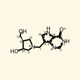 O=c1[nH]cnc2c(CN3CC(O)[C@@H](CO)C3)c[nH]c12